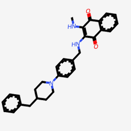 CNC1=C(NCc2ccc(N3CCC(Cc4ccccc4)CC3)cc2)C(=O)c2ccccc2C1=O